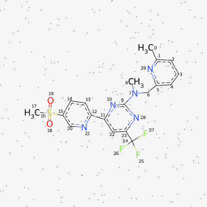 Cc1cccc(CN(C)c2nc(-c3ccc(S(C)(=O)=O)cn3)cc(C(F)(F)F)n2)n1